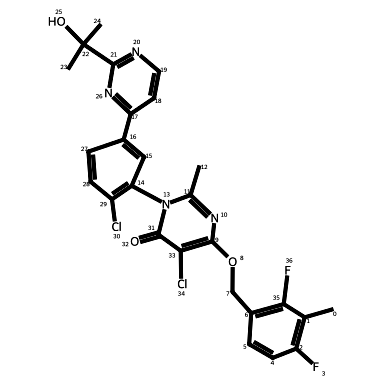 Cc1c(F)ccc(COc2nc(C)n(-c3cc(-c4ccnc(C(C)(C)O)n4)ccc3Cl)c(=O)c2Cl)c1F